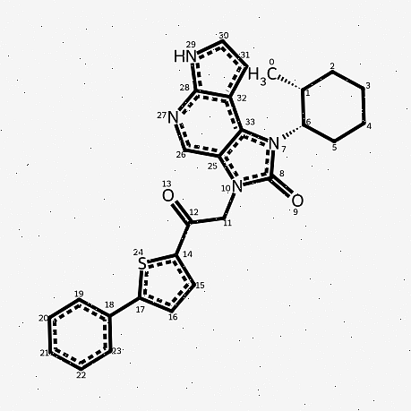 C[C@@H]1CCCC[C@@H]1n1c(=O)n(CC(=O)c2ccc(-c3ccccc3)s2)c2cnc3[nH]ccc3c21